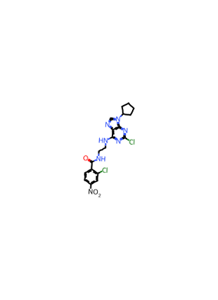 O=C(NCCNc1nc(Cl)nc2c1ncn2C1CCCC1)c1ccc([N+](=O)[O-])cc1Cl